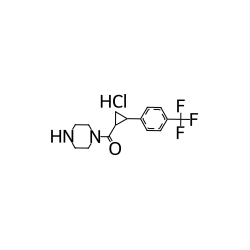 Cl.O=C(C1CC1c1ccc(C(F)(F)F)cc1)N1CCNCC1